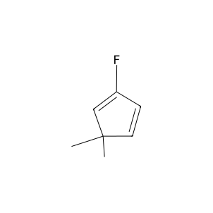 CC1(C)C=CC(F)=C1